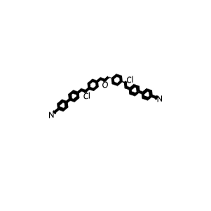 N#Cc1ccc(-c2ccc(CC(Cl)C3CCC(CC(=O)C[C@H]4CC[C@H](C(Cl)Cc5ccc(-c6ccc(C#N)cc6)cc5)CC4)CC3)cc2)cc1